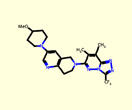 COC1CCN(c2cnc3c(c2)CN(c2nn4c(C(F)(F)F)nnc4c(C)c2C)CC3)CC1